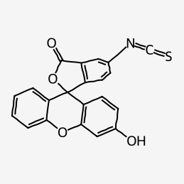 O=C1OC2(c3ccccc3Oc3cc(O)ccc32)c2ccc(N=C=S)cc21